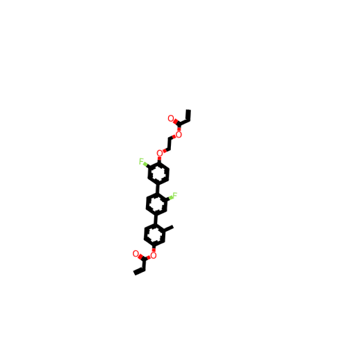 C=CC(=O)OCCOc1ccc(-c2ccc(-c3ccc(OC(=O)C=C)cc3C)cc2F)cc1F